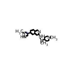 CN/C=C(\C=N)c1ccc2cnc(NCN(C)C3CCN(C)CC3)cc2c1